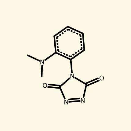 CN(C)c1ccccc1N1C(=O)N=NC1=O